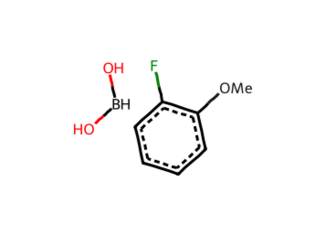 COc1ccccc1F.OBO